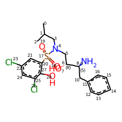 CC(C)CN(C[C@@H](O)[C@@H](N)Cc1ccccc1)S(=O)(=O)c1cc(Cl)cc(Cl)c1O